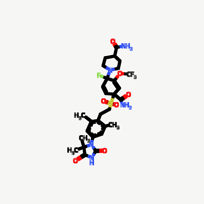 Cc1cc(N2C(=O)NC(=O)C2(C)C)cc(C)c1CCS(=O)(=O)C1(C(N)=O)C=CC(F)(N2CCC(C(N)=O)CC2)C(OC(F)(F)F)=C1